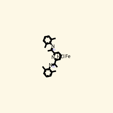 C/C(=N\c1c(C)cccc1C)c1cccc(/C(C)=N/c2c(C)cccc2C)n1.Cl.[Fe]